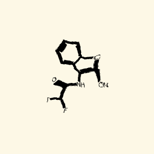 N#Cc1oc2ccccc2c1NC(=O)C(F)F